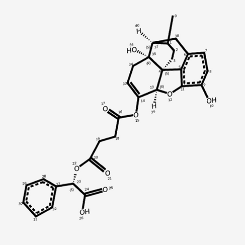 CC1CC[C@]23c4c5ccc(O)c4O[C@H]2C(OC(=O)CCC(=O)O[C@H](C(=O)O)c2ccccc2)=CC[C@@]3(O)[C@H]1C5